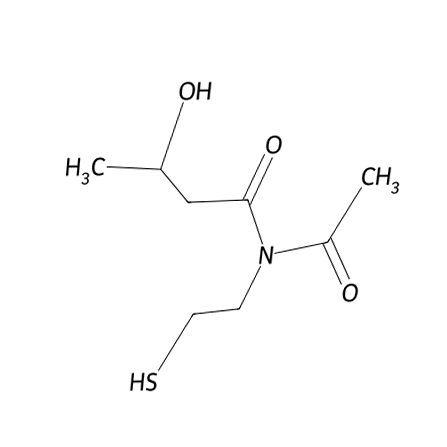 CC(=O)N(CCS)C(=O)CC(C)O